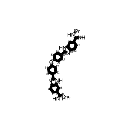 CC(C)NC(=N)c1ccc2nc(-c3ccc(Oc4ccc(-c5nc6ccc(C(=N)NC(C)C)cc6[nH]5)cc4)cc3)[nH]c2c1